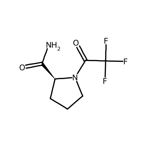 NC(=O)[C@@H]1CCCN1C(=O)C(F)(F)F